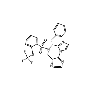 O=S(=O)(c1ccccc1SC(F)(F)F)N1Cc2nccnc2-n2ccnc2[C@H]1Cc1ccccc1